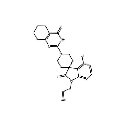 O=C1N(CCO)c2cccc(Cl)c2C12CCN(c1nc3c(c(=O)[nH]1)CCCC3)CC2